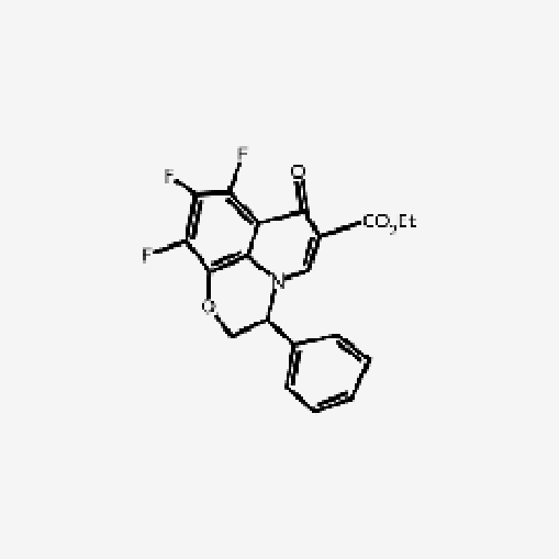 CCOC(=O)c1cn2c3c(c(F)c(F)c(F)c3c1=O)OCC2c1ccccc1